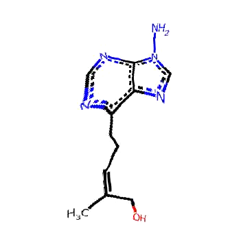 CC(=CCc1ncnc2c1ncn2N)CO